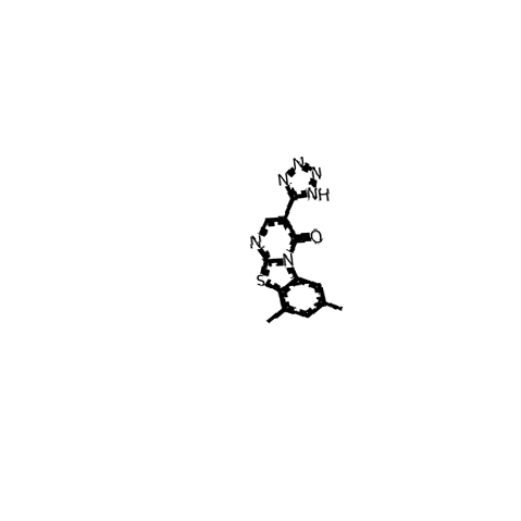 Cc1cc(C)c2sc3ncc(-c4nnn[nH]4)c(=O)n3c2c1